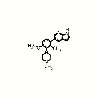 COc1ccc(-c2cnc3[nH]ccc3c2)c(C)c1N1CCN(C)CC1